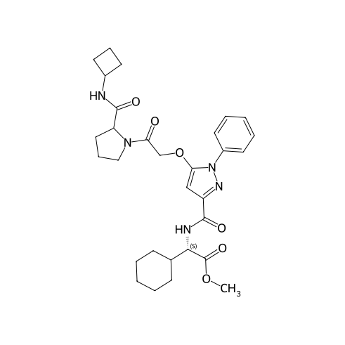 COC(=O)[C@@H](NC(=O)c1cc(OCC(=O)N2CCCC2C(=O)NC2CCC2)n(-c2ccccc2)n1)C1CCCCC1